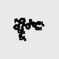 COCCCC[C@@H](c1cccc(F)c1-c1cccc(C)c1)C1CCCN(C(=O)N2C[C@@H](N)[C@@H](O)C2)C1